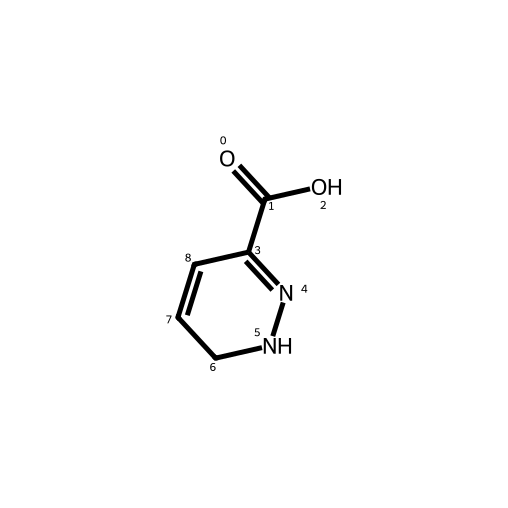 O=C(O)C1=NNCC=C1